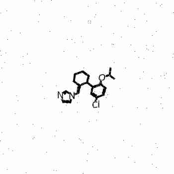 CC(C)Oc1ccc(Cl)cc1C1CCCCC1=Cn1ccnc1